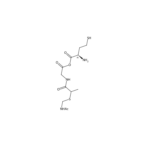 CC(=O)NCSC(C)C(=O)NCC(=O)OC(=O)[C@H](N)CCS